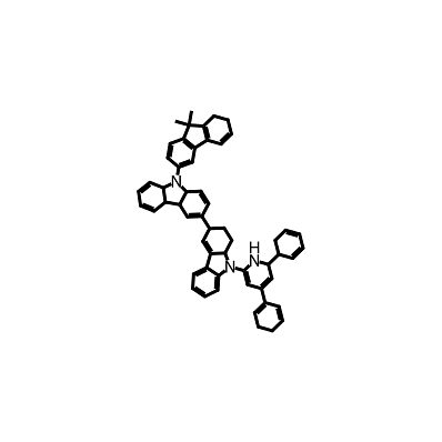 CC1(C)C2=C(C=CCC2)c2cc(N3C4C=CC=CC4C4C=C(C5C=C6c7ccccc7N(C7=CC(C8=CCCC=C8)=CC(C8C=CC=CC8)N7)C6CC5)C=CC43)ccc21